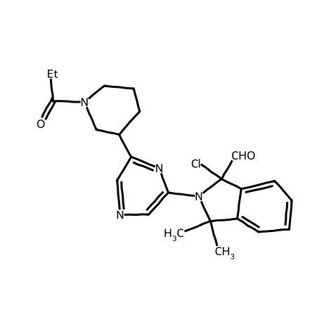 CCC(=O)N1CCCC(c2cncc(N3C(C)(C)c4ccccc4C3(Cl)C=O)n2)C1